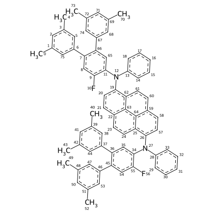 Cc1cc(C)cc(-c2cc(F)c(N(c3ccccc3)c3ccc4ccc5c(N(c6ccccc6)c6cc(-c7cc(C)cc(C)c7)c(-c7cc(C)cc(C)c7)cc6F)ccc6ccc3c4c65)cc2-c2cc(C)cc(C)c2)c1